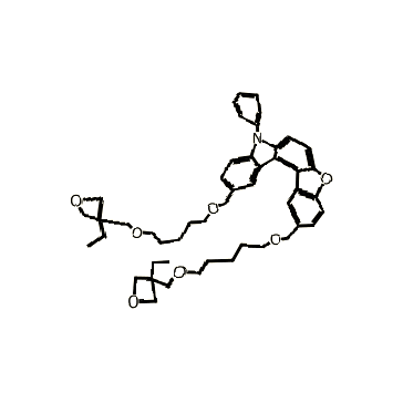 CCC1(COCCCCCOCc2ccc3oc4ccc5c(c6cc(COCCCCCOCC7(CC)COC7)ccc6n5-c5ccccc5)c4c3c2)COC1